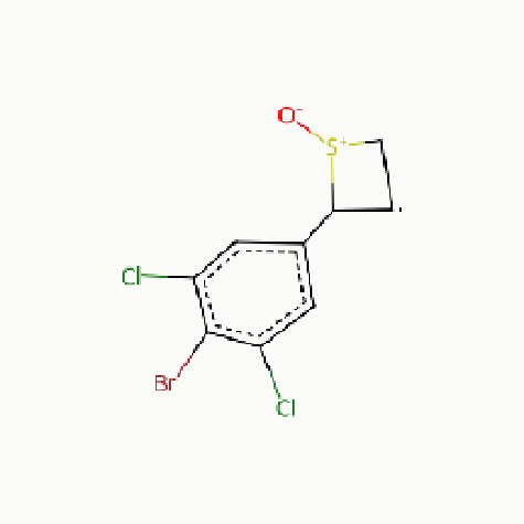 [O-][S+]1C[CH]C1c1cc(Cl)c(Br)c(Cl)c1